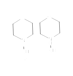 C[NH+]1CCOCC1.C[NH+]1CCOCC1.[S-2]